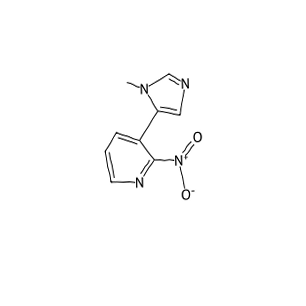 Cn1cncc1-c1cccnc1[N+](=O)[O-]